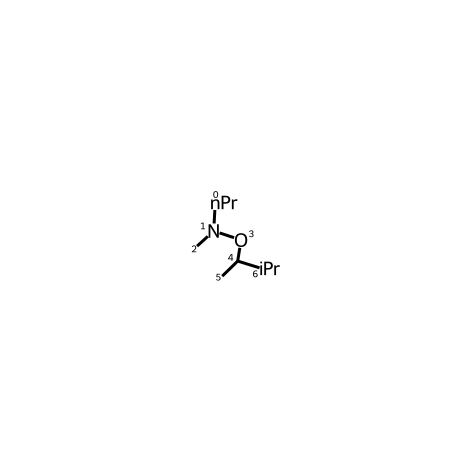 CCCN(C)OC(C)C(C)C